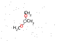 C=COCCC1CCC(CCOC=C)C(C)C1